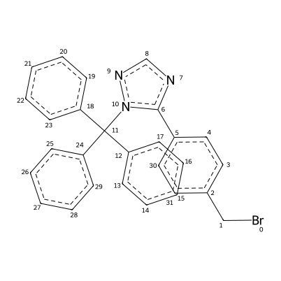 BrCc1ccc(-c2ncnn2C(c2ccccc2)(c2ccccc2)c2ccccc2)cc1